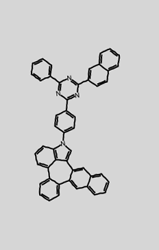 c1ccc(-c2nc(-c3ccc(-n4cc5c6c(cccc64)-c4ccccc4-c4cc6ccccc6cc4-5)cc3)nc(-c3ccc4ccccc4c3)n2)cc1